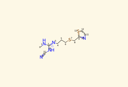 CN/C(=N/CCCSCc1nccs1)NC#N